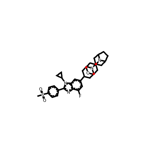 CS(=O)(=O)c1ccc(-c2nc3c(F)cc(C4CCN(C5CC6CCC(C5)N6C5CCOCC5)CC4)cc3n2C2CC2)cc1